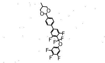 CC1COC(c2ccc(-c3cc(F)c(C(F)(F)Oc4cc(F)c(F)c(F)c4)c(F)c3)cc2)OC1